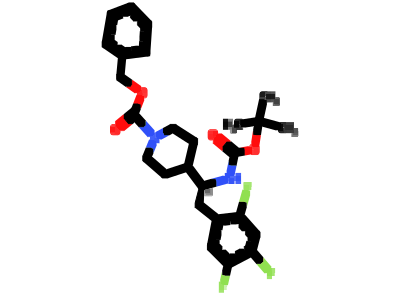 CC(C)(C)OC(=O)N[C@@H](Cc1cc(F)c(F)cc1F)C1CCN(C(=O)OCc2ccccc2)CC1